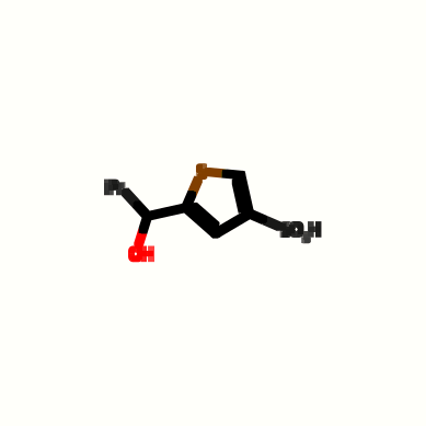 CC(C)C(O)c1cc(S(=O)(=O)O)cs1